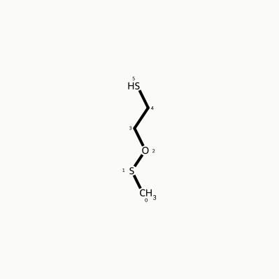 CSOCCS